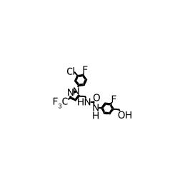 O=C(NCc1cc(C(F)(F)F)nn1-c1ccc(F)c(Cl)c1)Nc1ccc(CO)c(F)c1